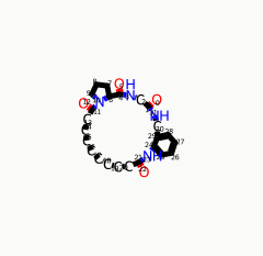 O=C1CNC(=O)C2CCCN2C(=O)CCCCCCCCC(=O)Nc2ccccc2CN1